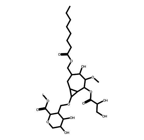 CCCCCCCC(=O)OCC1CC2C(OCC3C(C(=O)OI)OCC(O)C3O)C2C(OC(=O)C(O)CO)C(OC)C1O